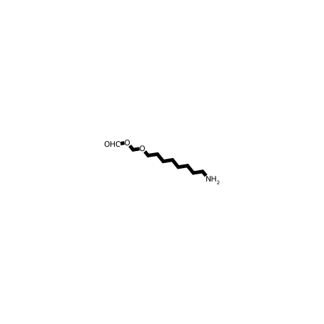 NCCCCCCCCOCOC=O